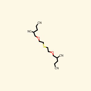 N#CCCC(C#N)COCCSCCOCC(C#N)CCC#N